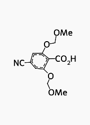 COCOc1cc(C#N)cc(OCOC)c1C(=O)O